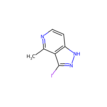 Cc1nccc2[nH]nc(I)c12